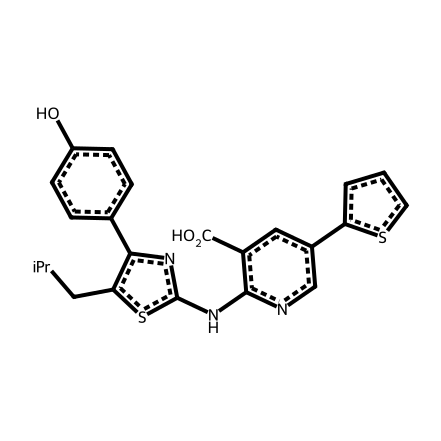 CC(C)Cc1sc(Nc2ncc(-c3cccs3)cc2C(=O)O)nc1-c1ccc(O)cc1